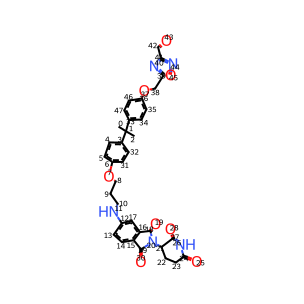 CC(C)(c1ccc(OCCCNc2ccc3c(c2)C(=O)N(C2CCC(=O)NC2=O)C3=O)cc1)c1ccc(OCc2nc(C=O)no2)cc1